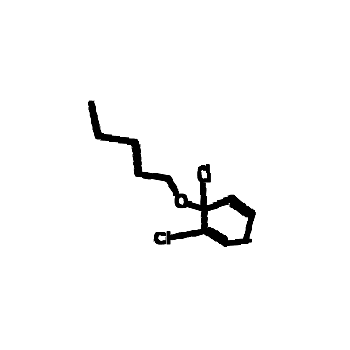 CCCCCOC1(Cl)C=C[CH]C=C1Cl